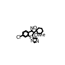 COC1(Cn2cncn2)C(c2ccc(Cl)cc2F)=NOC12CCCCC2